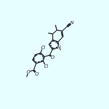 COC(=O)c1ccc(Cl)c(C(=O)c2cc3c(n2C)C=C(C#N)C(C)C3C)c1Cl